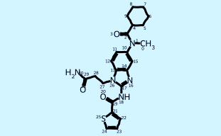 CN(C(=O)C1CCCCC1)c1ccc2c(c1)nc(NC(=O)c1cccs1)n2CCC(N)=O